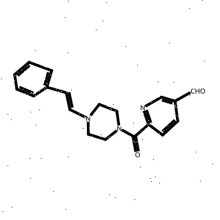 O=Cc1ccc(C(=O)N2CCN(C=Cc3ccccc3)CC2)nc1